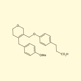 COc1ccc(CC2=C(COc3ccc(CCC(=O)O)cc3)COCC2)cc1